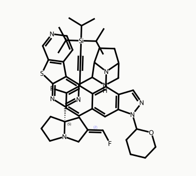 CC(C)[Si](C#Cc1c(F)ccc2cc3c(cnn3C3CCCCO3)c(N3C4CCC3C(c3nc([C@@]56CCCN5C/C(=C\F)C6)nc5sc6cnccc6c35)NC4)c12)(C(C)C)C(C)C